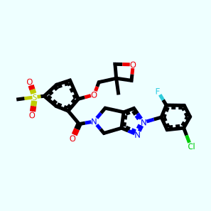 CC1(COc2ccc(S(C)(=O)=O)cc2C(=O)N2Cc3cn(-c4cc(Cl)ccc4F)nc3C2)COC1